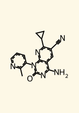 Cc1ncccc1-n1c(=O)nc(N)c2cc(C#N)c(C3CC3)nc21